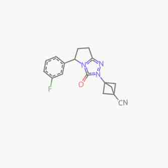 N#CC12CC(n3nc4n(c3=O)C(c3cccc(F)c3)CC4)(C1)C2